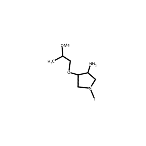 COC(C)COC1CN(I)CC1N